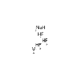 F.F.F.[NaH].[V]